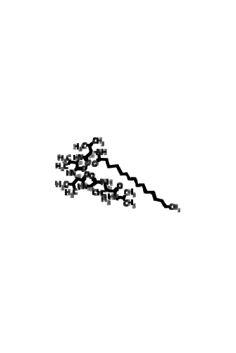 CCCCCCCCCCCCCCCC(=O)N[C@H](C(=O)N[C@H](C(=O)N[C@H](C(=O)N[C@@H](C)C(=O)N[C@@H](C)C(=O)NC(C)C)C(C)C)C(C)C)C(C)C